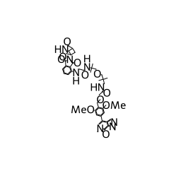 COc1cc(-c2cn(C)c(=O)c3c2cnn3C)cc(OC)c1COCC(=O)NCC(C)(C)COCC(C)(C)NC(=O)CNc1cccc2c1C(=O)N(C13CC(C1)C(=O)NC3=O)C2=O